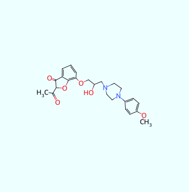 COc1ccc(N2CCN(CC(O)COc3cccc4c3OC(C(C)=O)C4=O)CC2)cc1